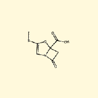 CSC1=CN2C(=O)CC2(C(=O)O)S1